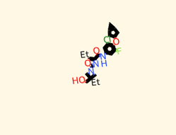 CCc1oc(N2CC(CC)(CO)C2)nc1C(=O)Nc1cc(F)c(OC2CC3CC3C2)c(Cl)c1